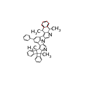 CC12c3ccccc3C(C)(c3ccccc31)c1c2ncc2c1c1cc(-c3ccccc3)cc3c4c5c(ncc4n2c13)C1(C)c2ccccc2C12c1ccccc1C52C